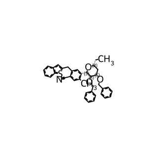 CC[C@@H]1C[C@H](OCc2ccccc2)[C@@H](OCc2ccccc2)[C@H](c2cc(Cc3cc4ccccc4s3)c(C#N)cc2C)O1